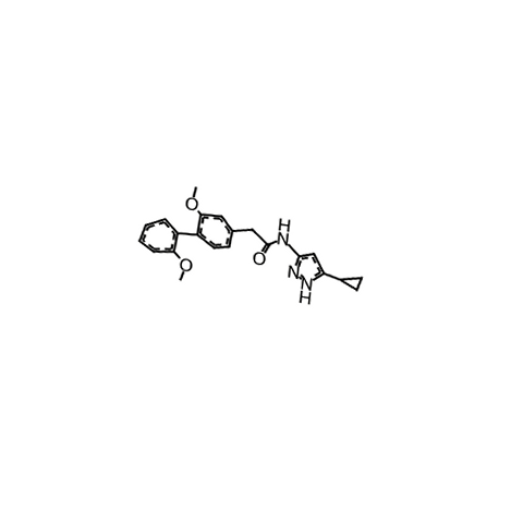 COc1ccccc1-c1ccc(CC(=O)Nc2cc(C3CC3)[nH]n2)cc1OC